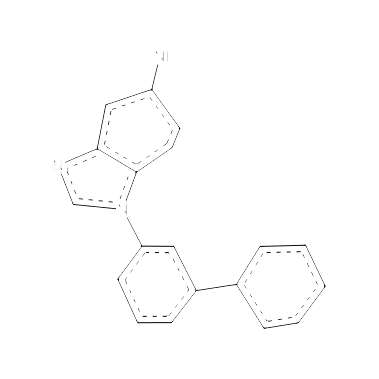 Nc1ccc2c(c1)ncn2-c1cccc(-c2ccccc2)c1